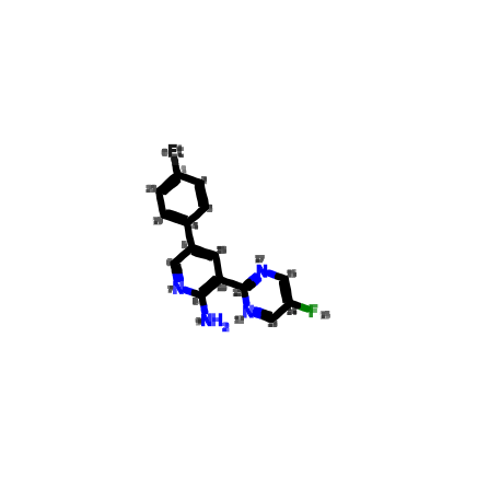 CCc1ccc(-c2cnc(N)c(-c3ncc(F)cn3)c2)cc1